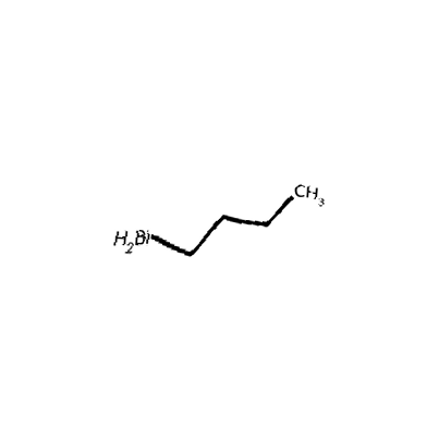 CCC[CH2][BiH2]